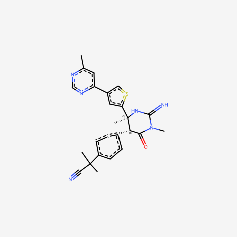 Cc1cc(-c2csc([C@@]3(C)NC(=N)N(C)C(=O)[C@@H]3c3ccc(C(C)(C)C#N)cc3)c2)ncn1